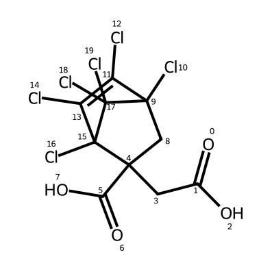 O=C(O)CC1(C(=O)O)CC2(Cl)C(Cl)=C(Cl)C1(Cl)C2(Cl)Cl